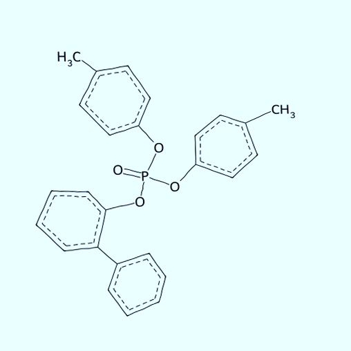 Cc1ccc(OP(=O)(Oc2ccc(C)cc2)Oc2ccccc2-c2ccccc2)cc1